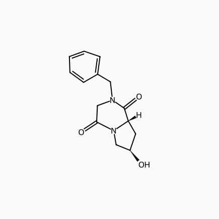 O=C1[C@@H]2C[C@@H](O)CN2C(=O)CN1Cc1ccccc1